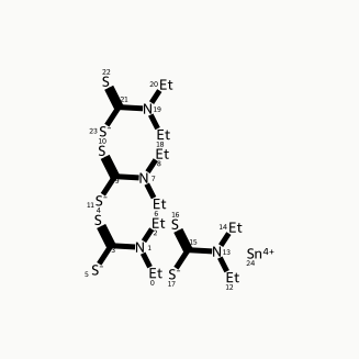 CCN(CC)C(=S)[S-].CCN(CC)C(=S)[S-].CCN(CC)C(=S)[S-].CCN(CC)C(=S)[S-].[Sn+4]